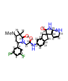 CNC1CC(c2cc(F)cc(F)c2)N(CC(=O)Nc2ccc3c(c2)CC2(C3)C(=O)NC3=C2C=CCN3)C(=O)C1(C)C